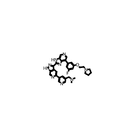 CN(C)Cc1cncc(-c2cc3c(-c4nc5c(-c6cc(F)cc(OCCN7CCCC7)c6)cncc5[nH]4)n[nH]c3cn2)c1